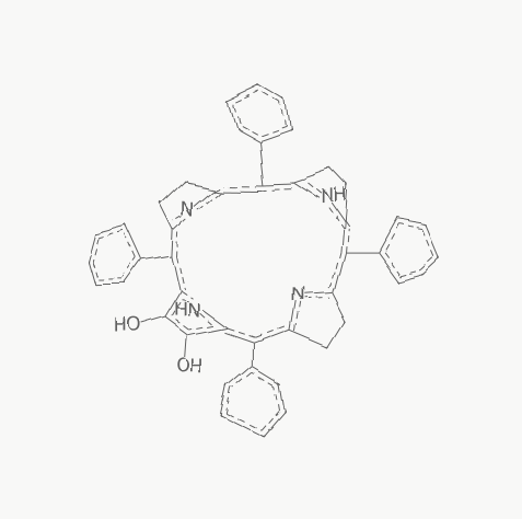 Oc1c(O)c2[nH]c1c(-c1ccccc1)c1nc(c(-c3ccccc3)c3[nH]c(c(-c4ccccc4)c4nc(c2-c2ccccc2)CC4)CC3)CC1